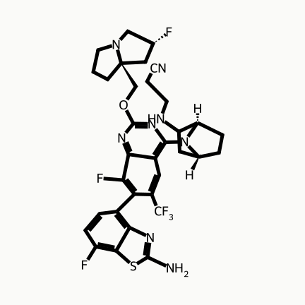 N#CCCNC1C[C@H]2CC[C@H]1N2c1nc(OC[C@@]23CCCN2C[C@H](F)C3)nc2c(F)c(-c3ccc(F)c4sc(N)nc34)c(C(F)(F)F)cc12